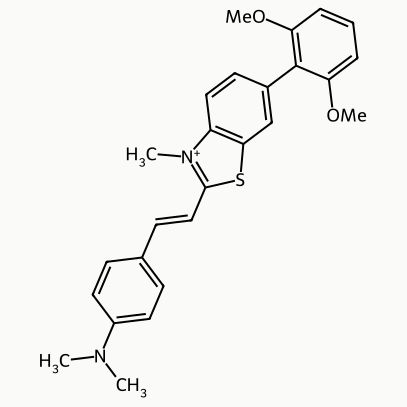 COc1cccc(OC)c1-c1ccc2c(c1)sc(C=Cc1ccc(N(C)C)cc1)[n+]2C